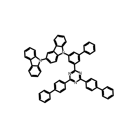 c1ccc(-c2ccc(-c3nc(-c4ccc(-c5ccccc5)cc4)nc(-c4cc(-c5ccccc5)cc(-n5c6ccccc6c6cc(-n7c8ccccc8c8ccccc87)ccc65)c4)n3)cc2)cc1